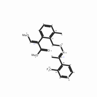 CO/C=C(/C(=O)OC)c1cccc(C)c1CO/N=C(\C)c1ccncc1C(F)(F)F